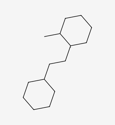 CC1CCCC[C]1CCC1CCCCC1